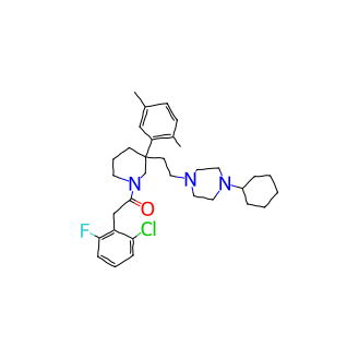 Cc1ccc(C)c(C2(CCN3CCN(C4CCCCC4)CC3)CCCN(C(=O)Cc3c(F)cccc3Cl)C2)c1